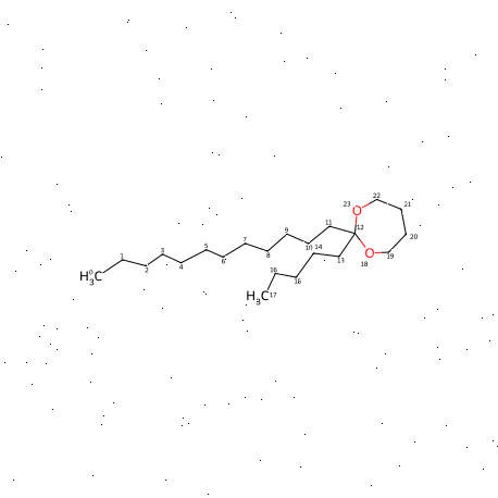 CCCCCCCCCCCCC1(CCCCC)OCCCCO1